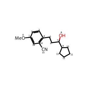 COc1ccc(CCC(O)C2CCCC2)c(C#N)c1